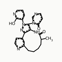 CC1CCCCc2cc(ccn2)-c2nn(-c3cccnc3O)c(-n3cnccc3=O)c2NC1=O